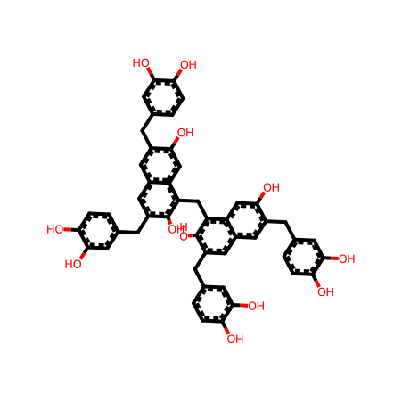 Oc1ccc(Cc2cc3cc(Cc4ccc(O)c(O)c4)c(O)c(Cc4c(O)c(Cc5ccc(O)c(O)c5)cc5cc(Cc6ccc(O)c(O)c6)c(O)cc45)c3cc2O)cc1O